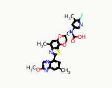 COc1cnc2c(-c3nc4c(C)cc5c(c4s3)OC[C@@H](CN(C(=O)O)c3cnc(F)c(C)c3)O5)cc(C)cc2n1